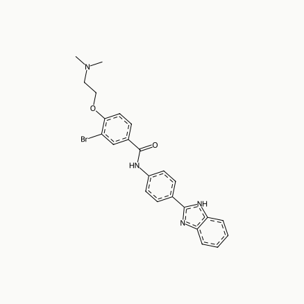 CN(C)CCOc1ccc(C(=O)Nc2ccc(-c3nc4ccccc4[nH]3)cc2)cc1Br